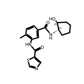 Cc1ccc(C(=O)N[C@H]2CCCC[C@@H]2O)cc1NC(=O)c1cncs1